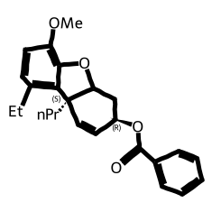 CCC[C@@]12C=C[C@H](OC(=O)c3ccccc3)CC1Oc1c(OC)ccc(CC)c12